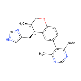 CNc1ncnc(C)c1-c1ccc2c(c1)[C@@H](Cc1c[nH]cn1)[C@@H](C)CO2